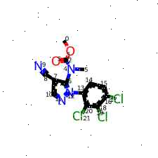 COC(=O)N(C)c1c(C#N)cnn1-c1ccc(Cl)c(Cl)c1Cl